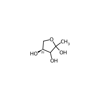 CC1(O)OC[C@H](O)C1O